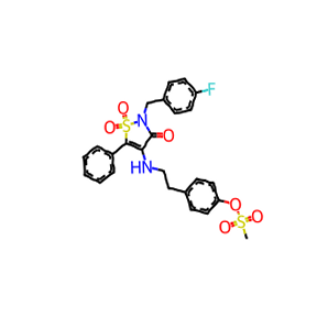 CS(=O)(=O)Oc1ccc(CCNC2=C(c3ccccc3)S(=O)(=O)N(Cc3ccc(F)cc3)C2=O)cc1